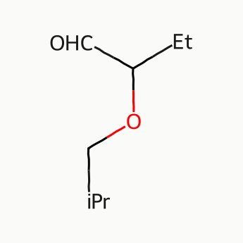 [CH2]CC(C=O)OCC(C)C